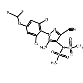 CS(=O)(=O)N(c1c(C#N)nn(-c2c(Cl)cc(OC(F)F)cc2Cl)c1N)S(C)(=O)=O